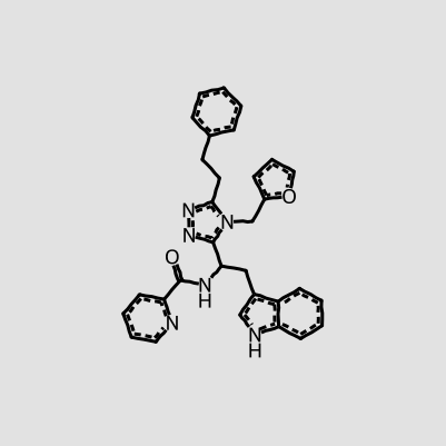 O=C(NC(Cc1c[nH]c2ccccc12)c1nnc(CCc2ccccc2)n1Cc1ccco1)c1ccccn1